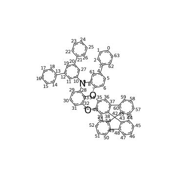 c1ccc(-c2cccc(N(c3cc(-c4ccccc4)cc(-c4ccccc4)c3)c3cccc4c3Oc3cc5c(cc3O4)C3(c4ccccc4-c4ccccc43)c3ccccc3-5)c2)cc1